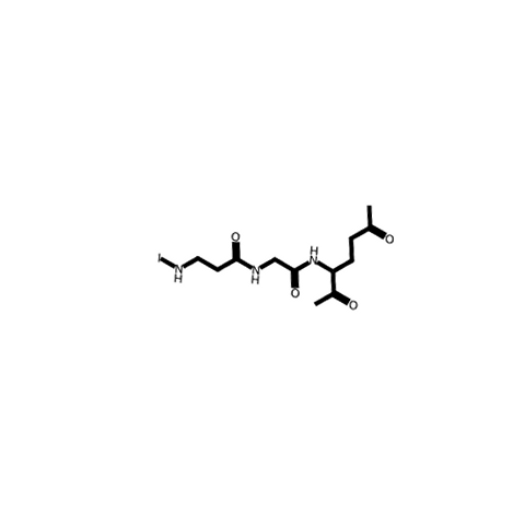 CC(=O)CCC(NC(=O)CNC(=O)CCNI)C(C)=O